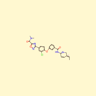 C/C=C1\C=CC(NC(=O)c2cccc(Oc3ccc(-c4noc(C(=O)N(C)C)n4)cc3Cl)c2)=NC1